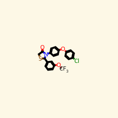 O=C1CSC(c2cccc(OC(F)(F)F)c2)N1c1ccc(Oc2ccc(Cl)cc2)cc1